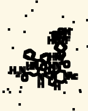 CC(=O)N1CC[C@H]2CC[C@@H](C(=O)NC(CCC(N)=O)C(=O)NC(c3ccccc3)c3ccccc3)N2C(=O)[C@@H](NC(=O)c2cc3cc(C(F)(F)P(=O)(O)O)ccc3[nH]2)C1